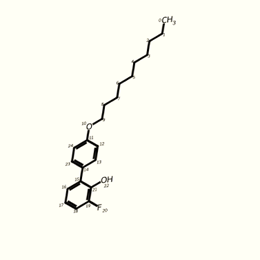 CCCCCCCCCCOc1ccc(-c2cccc(F)c2O)cc1